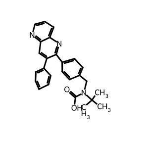 CC(C)(C)N(Cc1ccc(-c2nc3cccnc3cc2-c2ccccc2)cc1)C(=O)O